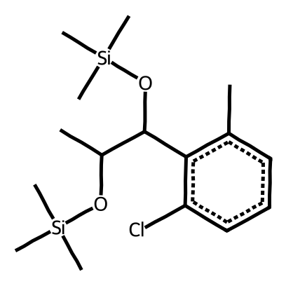 Cc1cccc(Cl)c1C(O[Si](C)(C)C)C(C)O[Si](C)(C)C